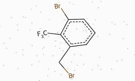 FC(F)(F)c1c(Br)cccc1CBr